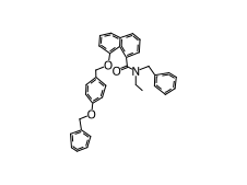 CCN(Cc1ccccc1)C(=O)c1cccc2cccc(OCc3ccc(OCc4ccccc4)cc3)c12